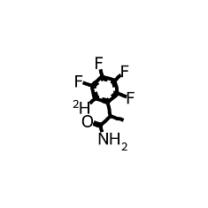 [2H]c1c(F)c(F)c(F)c(F)c1C(C)C(N)=O